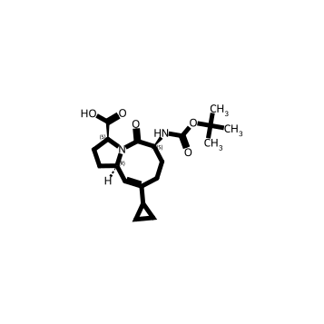 CC(C)(C)OC(=O)N[C@H]1CCC(C2CC2)=C[C@H]2CC[C@@H](C(=O)O)N2C1=O